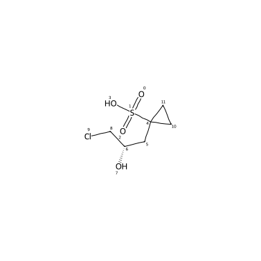 O=S(=O)(O)C1(C[C@H](O)CCl)CC1